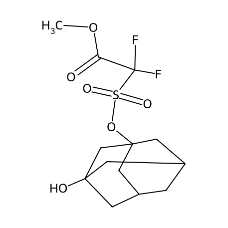 COC(=O)C(F)(F)S(=O)(=O)OC12CC3CC(CC(O)(C3)C1)C2